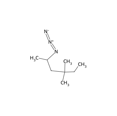 CCC(C)(C)CC(C)N=[N+]=[N-]